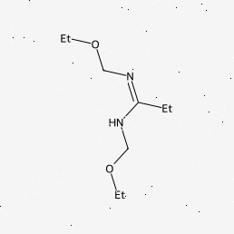 CCOCN=C(CC)NCOCC